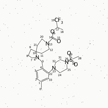 Cc1ccc(CN2CCCC23CCN(C(=O)OC(C)C(F)(F)F)CC3)c(N2CCN(S(C)(=O)=O)CC2)c1